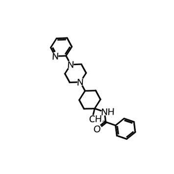 CC1(NC(=O)c2ccccc2)CCC(N2CCN(c3ccccn3)CC2)CC1